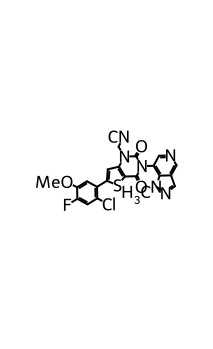 COc1cc(-c2cc3c(s2)c(=O)n(-c2cncc4cnn(C)c24)c(=O)n3CC#N)c(Cl)cc1F